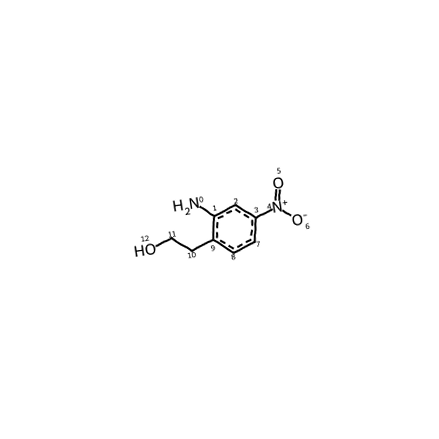 Nc1cc([N+](=O)[O-])ccc1CCO